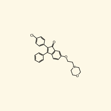 O=C1C(c2ccc(Cl)cc2)=C(c2ccccc2)c2ccc(OCCN3CCOCC3)cc21